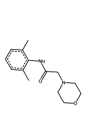 Cc1cccc(C)c1NC(=O)CN1CCOCC1